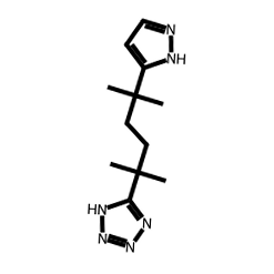 CC(C)(CCC(C)(C)c1nnn[nH]1)c1ccn[nH]1